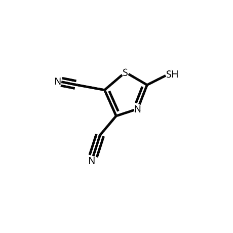 N#Cc1nc(S)sc1C#N